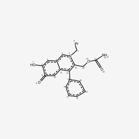 CC(C)Cn1cc2cc(O)c(=O)cc-2c(-c2ccccc2)c1COC(N)=O